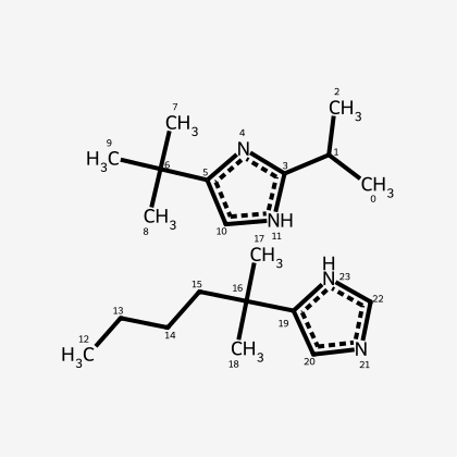 CC(C)c1nc(C(C)(C)C)c[nH]1.CCCCC(C)(C)c1cnc[nH]1